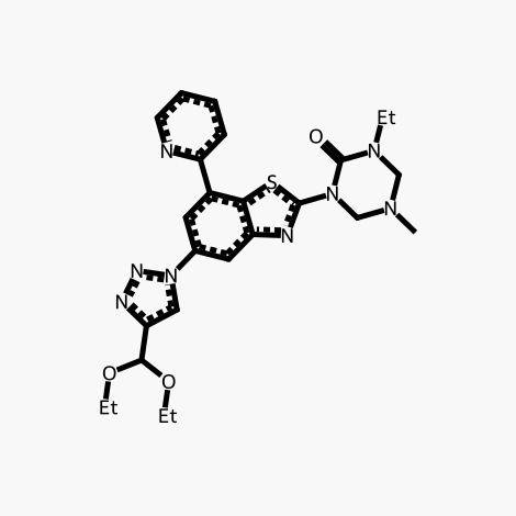 CCOC(OCC)c1cn(-c2cc(-c3ccccn3)c3sc(N4CN(C)CN(CC)C4=O)nc3c2)nn1